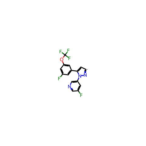 Fc1cc(OC(F)(F)F)cc(-c2c[c]nn2-c2cncc(F)c2)c1